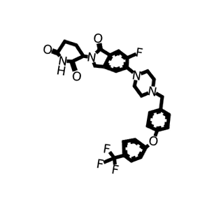 O=C1CCC(N2Cc3cc(N4CCN(Cc5ccc(Oc6ccc(C(F)(F)F)cc6)cc5)CC4)c(F)cc3C2=O)C(=O)N1